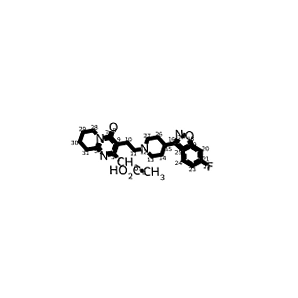 CC(=O)O.Cc1nc2n(c(=O)c1CCN1CCC(c3noc4cc(F)ccc34)CC1)CCCC2